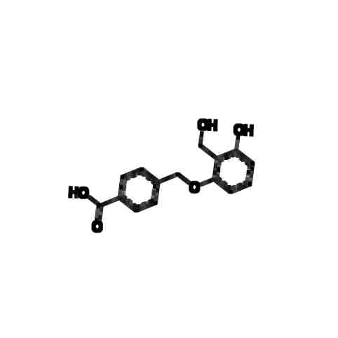 O=C(O)c1ccc(COc2cccc(O)c2CO)cc1